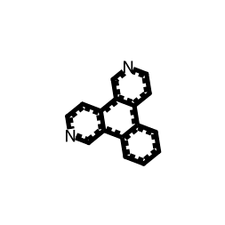 c1ccc2c(c1)c1ccncc1c1ccncc21